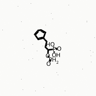 O=[PH2]OC(CCc1ccccc1)P(=O)(O)O